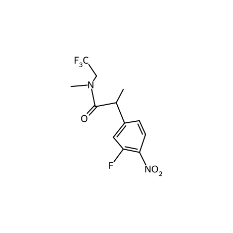 CC(C(=O)N(C)CC(F)(F)F)c1ccc([N+](=O)[O-])c(F)c1